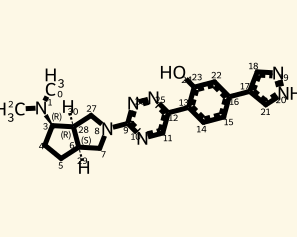 CN(C)[C@@H]1CC[C@@H]2CN(c3ncc(-c4ccc(-c5cn[nH]c5)cc4O)nn3)C[C@@H]21